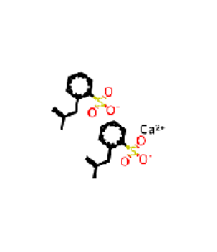 C=C(C)Cc1ccccc1S(=O)(=O)[O-].C=C(C)Cc1ccccc1S(=O)(=O)[O-].[Ca+2]